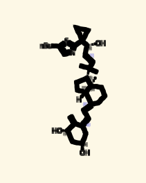 C=C1/C(=C\C=C2/CCC[C@]3(C)[C@@H](C(C)(C)/C=C/[C@@H](O)C4(c5ncc(CCCC)s5)CC4)CC[C@@H]23)C[C@@H](O)C[C@@H]1O